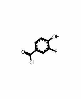 O=C(Cl)c1ccc(O)c(F)c1